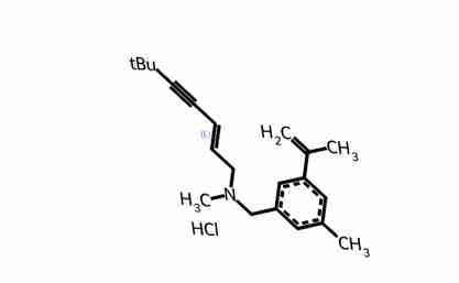 C=C(C)c1cc(C)cc(CN(C)C/C=C/C#CC(C)(C)C)c1.Cl